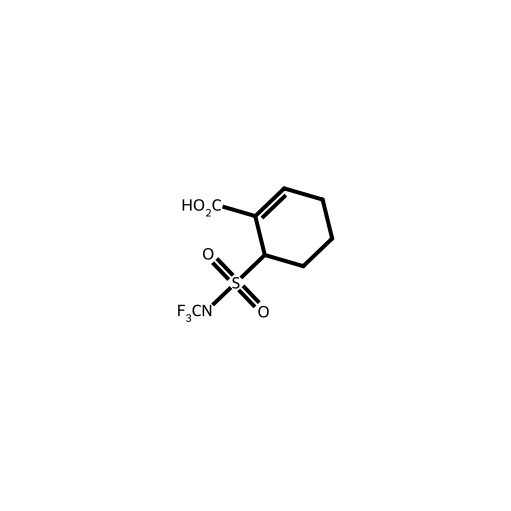 O=C(O)C1=CCCCC1S(=O)(=O)NC(F)(F)F